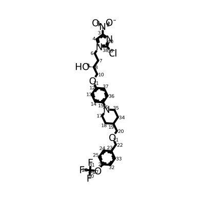 O=[N+]([O-])c1cn(CC[C@@H](O)COc2ccc(N3CCC(COCc4ccc(OC(F)(F)F)cc4)CC3)cc2)c(Cl)n1